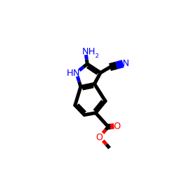 COC(=O)c1ccc2[nH]c(N)c(C#N)c2c1